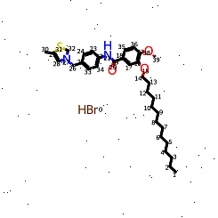 Br.CCCCCCCCCCCCCCOc1cc(C(=O)Nc2ccc(CN3C=C(C)SC3)cc2)ccc1OC